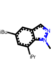 CCC(C)c1cc(C(C)C)c2c(cnn2C)c1